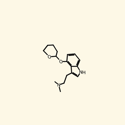 CN(C)CCc1c[nH]c2cccc(OC3CCCCO3)c12